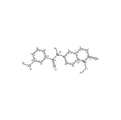 CCn1c(=O)ccc2cc(N(C)C(=O)c3cccc(OC)c3)ccc21